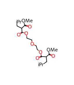 COC(=O)C(CC(C)C)C(=O)OCCOCCOC(=O)C(CC(C)C)C(=O)OC